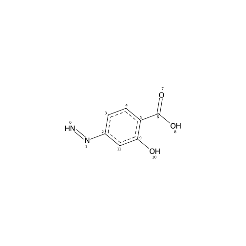 N=Nc1ccc(C(=O)O)c(O)c1